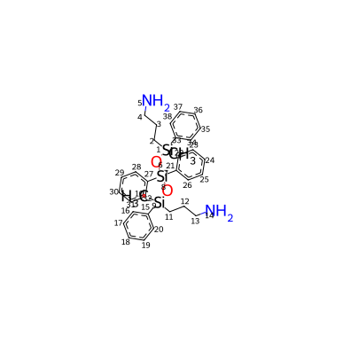 C[Si](CCCN)(O[Si](O[Si](C)(CCCN)c1ccccc1)(c1ccccc1)c1ccccc1)c1ccccc1